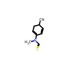 CN(C=S)C1=CCC(C#N)C=C1